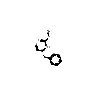 COC(=O)N[C@@H](C=O)Cc1ccccc1